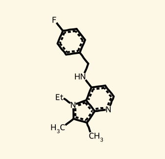 CCn1c(C)c(C)c2nccc(NCc3ccc(F)cc3)c21